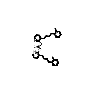 Cc1ccccc1CCCCc1cccnc1OC(=O)Oc1ncccc1CCCCc1ccccc1C